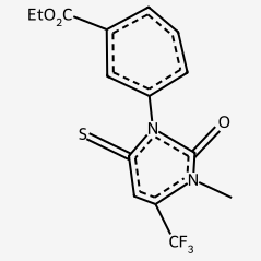 CCOC(=O)c1cccc(-n2c(=S)cc(C(F)(F)F)n(C)c2=O)c1